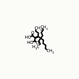 CCCCCC(CCC)(CCCC)C(CCC)=C(C(=O)O)C(=O)O